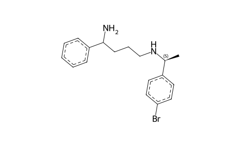 C[C@H](NCCCC(N)c1ccccc1)c1ccc(Br)cc1